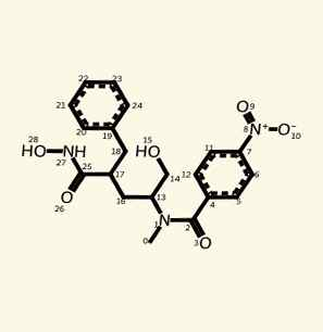 CN(C(=O)c1ccc([N+](=O)[O-])cc1)C(CO)CC(Cc1ccccc1)C(=O)NO